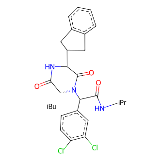 CC[C@H](C)[C@@H]1C(=O)NC(C2Cc3ccccc3C2)C(=O)N1C(C(=O)NC(C)C)c1ccc(Cl)c(Cl)c1